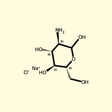 N[C@H]1C(O)O[C@H](CO)[C@@H](O)[C@@H]1O.[Cl-].[Na+]